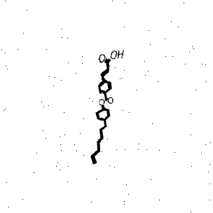 C=CCCCCCC1CCC(OC(=O)c2ccc(C=CC(=O)O)cc2)CC1